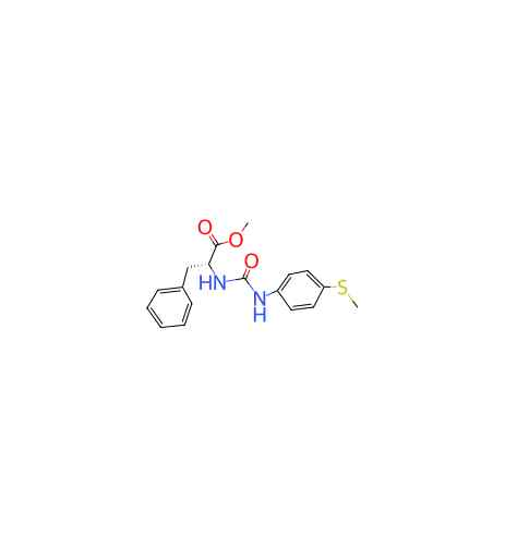 COC(=O)[C@@H](Cc1ccccc1)NC(=O)Nc1ccc(SC)cc1